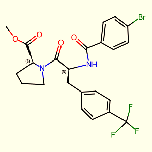 COC(=O)[C@@H]1CCCN1C(=O)[C@H](Cc1ccc(C(F)(F)F)cc1)NC(=O)c1ccc(Br)cc1